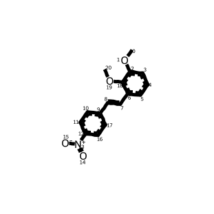 COc1cccc(/C=C/c2ccc([N+](=O)[O-])cc2)c1OC